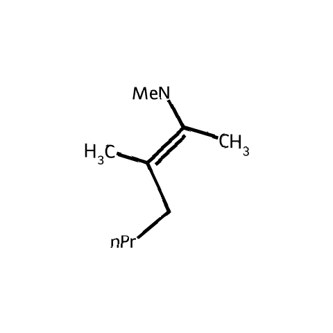 CCCC/C(C)=C(\C)NC